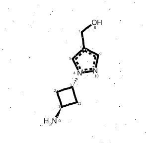 N[C@H]1C[C@H](n2cc(CO)cn2)C1